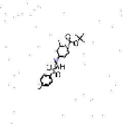 Cc1ccc(S(=O)(=O)N/N=C2\CCN(C(=O)OC(C)(C)C)C(C)C2)cc1